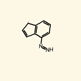 N=Nc1cccc2c1C=C[CH]2